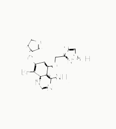 Cn1cnc(COc2cc(O[C@@H]3CCOC3)c(Br)c3ncnc(N)c23)n1